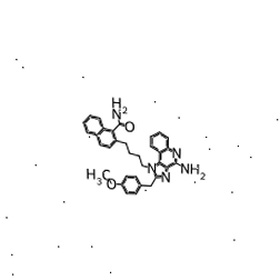 COc1ccc(Cc2nc3c(N)nc4ccccc4c3n2CCCCc2ccc3ccccc3c2C(N)=O)cc1